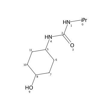 CC(C)NC(=O)NC1CCC(O)CC1